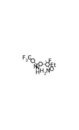 CCc1c(C(N)=O)cc(-c2ccc3c(-c4ccc(C(F)(F)F)cc4)n[nH]c3c2)c(C)c1F